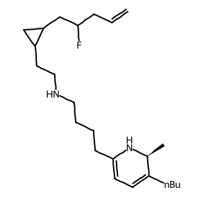 C=CCC(F)CC1CC1CCNCCCCC1=CC=C(CCCC)[C@H](C)N1